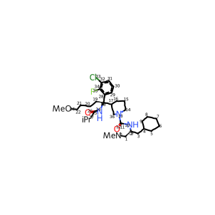 CNC[C@H](CC1CCCCC1)NC(=O)N1CCCC([C@](CCCCOC)(NC(=O)C(C)C)c2cccc(Cl)c2F)C1